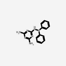 Nc1nc(N)nc(NN(c2ccccc2)c2ccccc2)n1